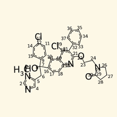 Cn1cncc1CC(O)(c1ccc(Cl)cc1)c1ccc2nc(OCCN3CCCC3=O)c(-c3ccccc3)c(Cl)c2c1